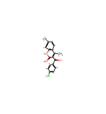 [C-]#[N+]c1ccc2c(C)c(C(=O)c3ccc(Cl)cc3)c(=O)oc2c1